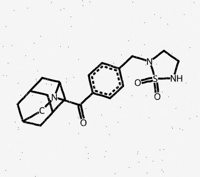 O=C(c1ccc(CN2CCNS2(=O)=O)cc1)N1CC2CC3CC(C2)CC1C3